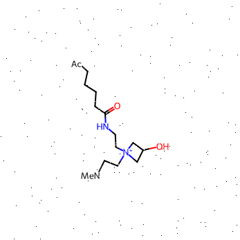 CNCC[N+]1(CCNC(=O)CCCCC(C)=O)CC(O)C1